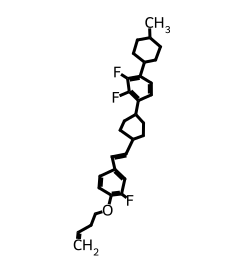 C=CCCOc1ccc(/C=C/C2CCC(c3ccc(C4CCC(C)CC4)c(F)c3F)CC2)cc1F